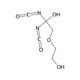 O=C=NC(O)(COCCO)N=C=O